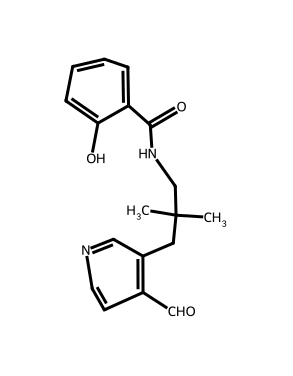 CC(C)(CNC(=O)c1ccccc1O)Cc1cnccc1C=O